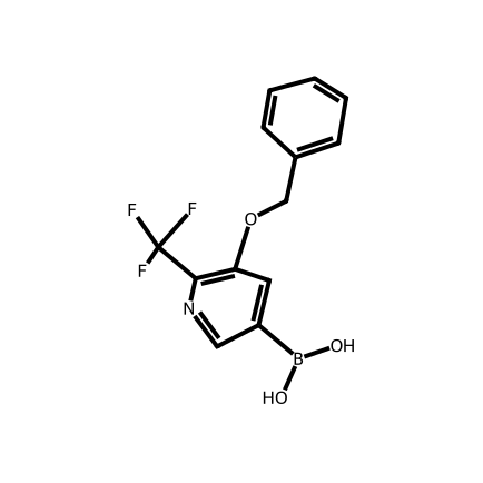 OB(O)c1cnc(C(F)(F)F)c(OCc2ccccc2)c1